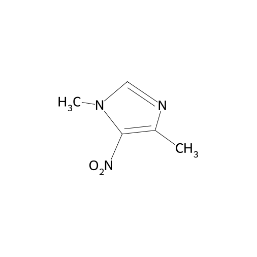 Cc1ncn(C)c1[N+](=O)[O-]